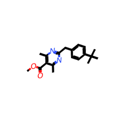 COC(=O)c1c(C)nc(Cc2ccc(C(C)(C)C)cc2)nc1C